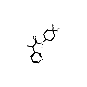 CC(C(=O)NC1CCC(F)(F)CC1)c1cccnc1